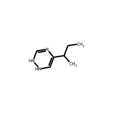 CCC(C)C1=CNNC=N1